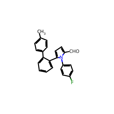 Cc1ccc(-c2ccccc2-c2ccc(C=O)n2-c2ccc(F)cc2)cc1